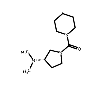 CN(C)[C@H]1CCN(C(=O)N2CC[CH]CC2)C1